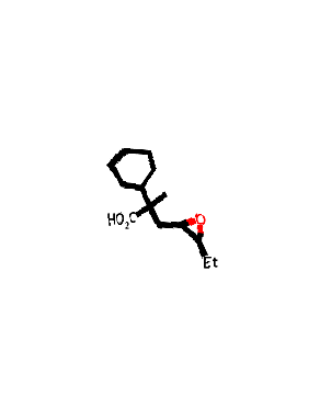 CCC1OC1CC(C)(C(=O)O)C1CCCCC1